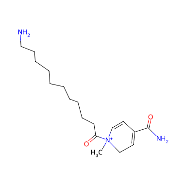 C[N+]1(C(=O)CCCCCCCCCCN)C=CC(C(N)=O)=CC1